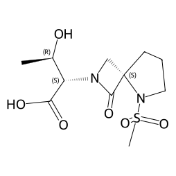 C[C@@H](O)[C@@H](C(=O)O)N1C[C@@]2(CCCN2S(C)(=O)=O)C1=O